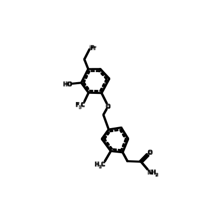 Cc1cc(COc2ccc(CC(C)C)c(O)c2C(F)(F)F)ccc1CC(N)=O